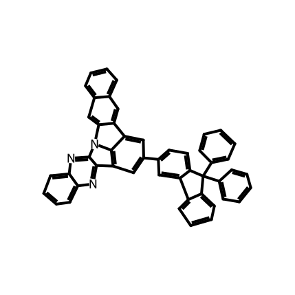 c1ccc(C2(c3ccccc3)c3ccccc3-c3cc(-c4cc5c6cc7ccccc7cc6n6c7nc8ccccc8nc7c(c4)c56)ccc32)cc1